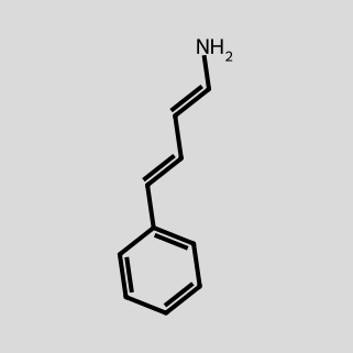 NC=CC=Cc1ccccc1